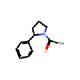 CC(C)(C)C(=O)N1CCCC1c1ccccc1